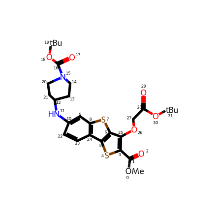 COC(=O)c1sc2c(sc3cc(NC4CCN(C(=O)OC(C)(C)C)CC4)ccc32)c1OCC(=O)OC(C)(C)C